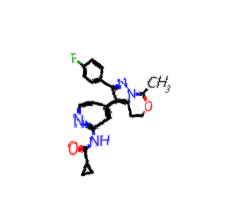 CC1OCCc2c(-c3ccnc(NC(=O)C4CC4)c3)c(-c3ccc(F)cc3)nn21